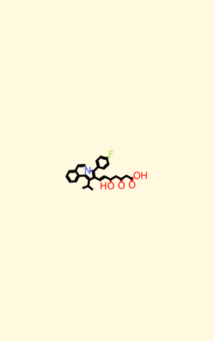 CC(C)c1c(/C=C/C(O)CC(=O)CC(=O)O)c(-c2ccc(F)cc2)n2ccc3ccccc3c12